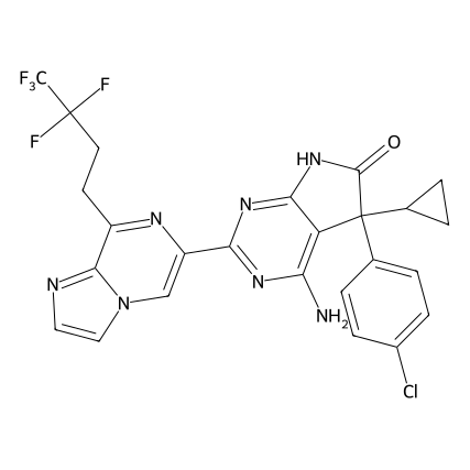 Nc1nc(-c2cn3ccnc3c(CCC(F)(F)C(F)(F)F)n2)nc2c1C(c1ccc(Cl)cc1)(C1CC1)C(=O)N2